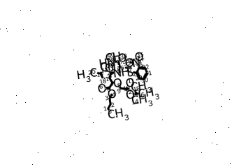 CCCCOC(=O)[C@H](OCC(=O)OC(C)(C)C)[C@H](CC(C)C)C(=O)N[C@@H](CSc1ccccc1[N+](=O)[O-])C(=O)NC